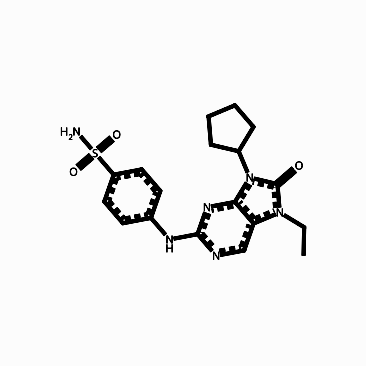 CCn1c(=O)n(C2CCCC2)c2nc(Nc3ccc(S(N)(=O)=O)cc3)ncc21